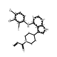 C=CC(=O)N1CCC(c2c[nH]c3ncnc(Nc4ccc(Cl)c(Cl)c4F)c23)CC1